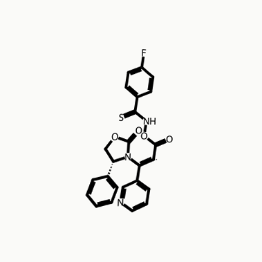 O=C([C]=C(c1cccnc1)N1C(=O)OC[C@H]1c1ccccc1)ONC(=S)c1ccc(F)cc1